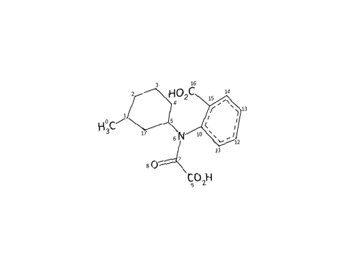 CC1CCCC(N(C(=O)C(=O)O)c2ccccc2C(=O)O)C1